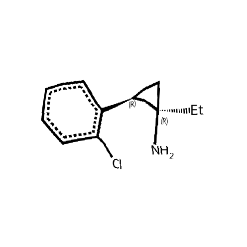 CC[C@@]1(N)C[C@@H]1c1ccccc1Cl